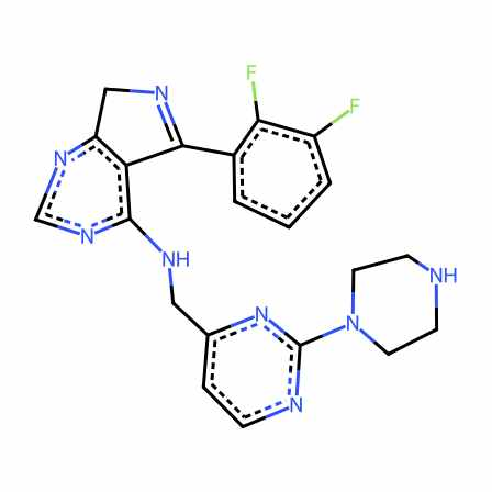 Fc1cccc(C2=NCc3ncnc(NCc4ccnc(N5CCNCC5)n4)c32)c1F